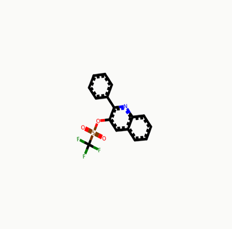 O=S(=O)(Oc1cc2ccccc2nc1-c1ccccc1)C(F)(F)F